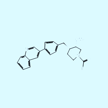 CCC(=O)N1CC[C@@H](Cc2ccc(-c3cnc4ccccc4c3)cc2)[C@H](OC)C1